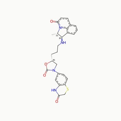 C[C@H]1[C@H](NCCC[C@@H]2CN(c3ccc4c(c3)NC(=O)CS4)C(=O)O2)c2cccc3ccc(=O)n1c23